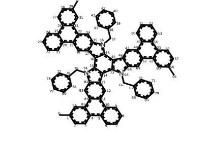 Cc1ccc2c3ccccc3c3cc4c5c(c6c7cc8c9ccccc9c9ccc(C)cc9c8cc7n(Cc7ccccc7)c6c6c7cc8c9ccccc9c9ccc(C)cc9c8cc7n(Cc7ccccc7)c56)n(Cc5ccccc5)c4cc3c2c1